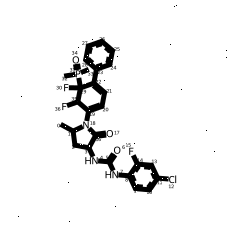 CC1CC(NC(=O)Nc2ccc(Cl)cc2F)C(=O)N1C1=CC=C(c2ccccc2)C(F)(P(C)(C)=O)C1F